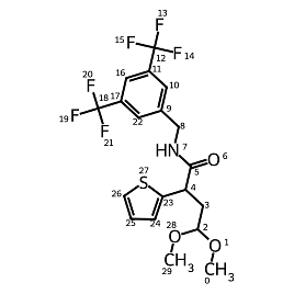 COC(CC(C(=O)NCc1cc(C(F)(F)F)cc(C(F)(F)F)c1)c1cccs1)OC